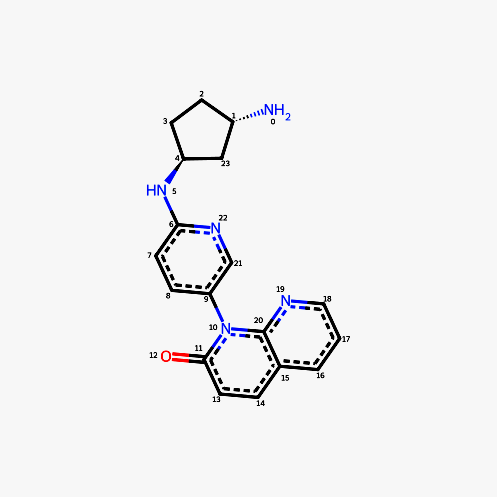 N[C@H]1CC[C@H](Nc2ccc(-n3c(=O)ccc4cccnc43)cn2)C1